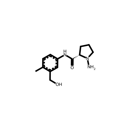 Cc1ccc(NC(=O)[C@@H]2CCCN2N)cc1CO